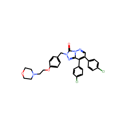 O=c1n(Cc2ccc(OCCN3CCOCC3)cc2)nc2c(-c3ccc(Cl)cc3)c(-c3ccc(Cl)cc3)cnn12